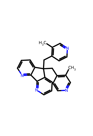 Cc1cnccc1CC1(Cc2ccncc2C)c2cccnc2-c2ncccc21